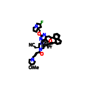 COC1CCN(C/C=C/C(=O)N2CCN(c3nc(OC[C@@]45CCCN4C[C@H](F)C5)nc4c3COC(c3cccc5cccc(C#C[Si](C(C)C)(C(C)C)C(C)C)c35)C4)C[C@@H]2CC#N)CC1